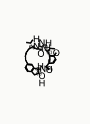 CC(C)[C@]12CCCCc3ccc4c(c3)[C@@H](NC(=O)c3ccc5c(c3)[C@@H](CCO5)N(C(=N)N1)C(=O)C2)[C@H](O)C4